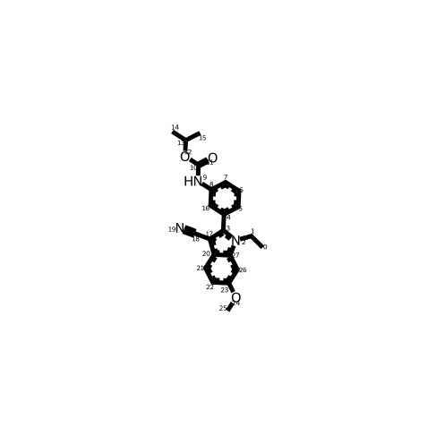 CCn1c(-c2cccc(NC(=O)OC(C)C)c2)c(C#N)c2ccc(OC)cc21